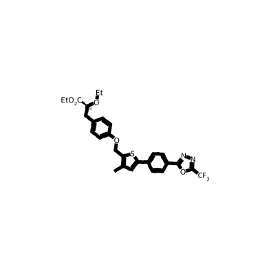 CCOC(=O)[C@H](Cc1ccc(OCc2sc(-c3ccc(-c4nnc(C(F)(F)F)o4)cc3)cc2C)cc1)OCC